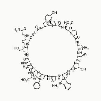 CCCC[C@H]1C(=O)N(C)[C@@H](CCCC)C(=O)N[C@@H](CC(=O)O)C(=O)N[C@H](C(=O)NCC(N)=O)CSCC(=O)N[C@@H](Cc2ccc(O)cc2)C(=P)N(C)[C@@H](C)C(=O)N[C@@H](CC(=O)O)C(=O)N2CCCC2C(=O)N[C@@H](CN)C(=O)N[C@@H](CC(C)C)C(=O)N2C[C@H](O)C[C@H]2C(=O)N[C@@H](Cc2c[nH]c3ccccc23)C(=O)N[C@@H](CCN)C(=O)N[C@@H](Cc2cn(CC(=O)O)c3ccccc23)C(=O)N1C